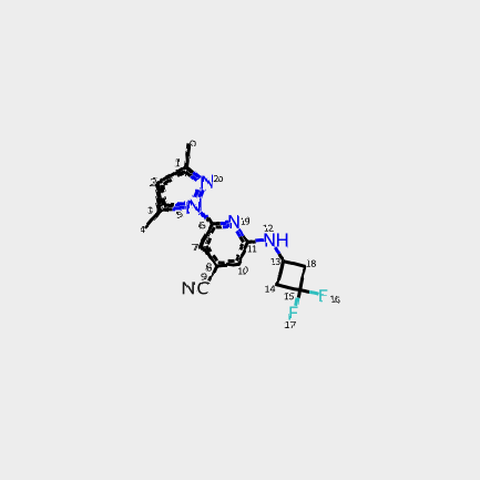 Cc1cc(C)n(-c2cc(C#N)cc(NC3CC(F)(F)C3)n2)n1